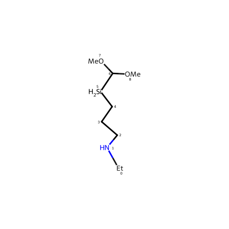 CCNCCC[SiH2]C(OC)OC